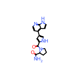 NC(=O)C1CCCN1C(=O)c1cc(-c2ccnc3[nH]ccc23)c[nH]1